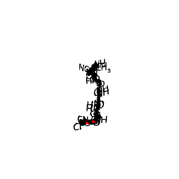 C[C@@H]1CN([C@H]2Cc3c(C#N)cc(Cl)cc3[C@@H]2Oc2ccc(S(=O)(=O)N[C@@H]3CCN(C(=O)CCCNC(=O)NCCCCNC(=O)NCCCC(=O)N4CC[C@@H](NS(=O)(=O)c5ccc(O[C@@H]6CCc7c(C#N)cc(Cl)cc76)cc5)C4)C3)cc2)CCN1